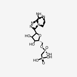 Nc1nccn2c(C3O[C@H](COP(=O)(O)CP(=O)(O)O)[C@@H](O)[C@H]3O)nnc12